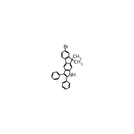 CC1(C)c2cc(Br)ccc2-c2cc3c(-c4ccccc4)c(-c4ccccc4)[nH]c3cc21